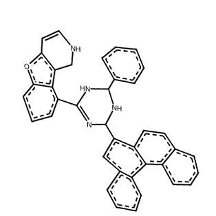 C1=Cc2oc3cccc(C4=NC(c5cc6ccccc6c6c5ccc5ccccc56)NC(c5ccccc5)N4)c3c2CN1